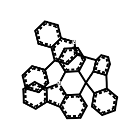 c1ccc(-c2cc(-c3cccc4c3C3(c5ccccc5-4)c4ccccc4-n4c5ccccc5c5cccc3c54)nc3ccccc23)cc1